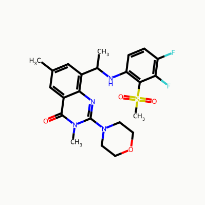 Cc1cc(C(C)Nc2ccc(F)c(F)c2S(C)(=O)=O)c2nc(N3CCOCC3)n(C)c(=O)c2c1